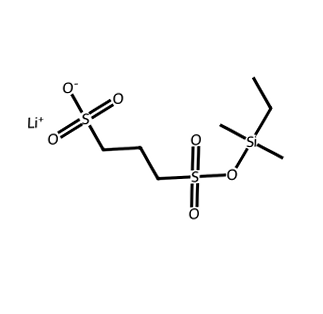 CC[Si](C)(C)OS(=O)(=O)CCCS(=O)(=O)[O-].[Li+]